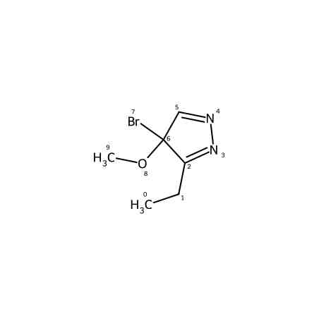 CCC1=NN=CC1(Br)OC